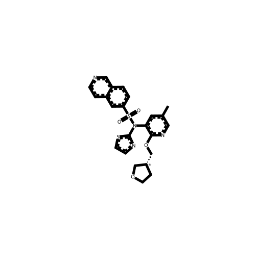 Cc1cnc(OC[C@@H]2CCOC2)c(N(c2nccs2)S(=O)(=O)c2ccc3cnccc3c2)c1